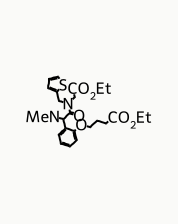 CCOC(=O)CCCOc1ccccc1C(NC)C(=O)N(CC(=O)OCC)Cc1cccs1